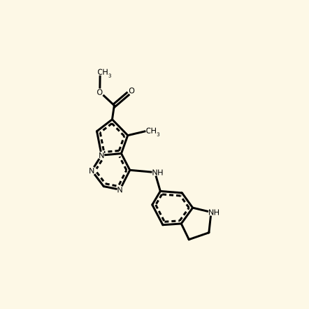 COC(=O)c1cn2ncnc(Nc3ccc4c(c3)NCC4)c2c1C